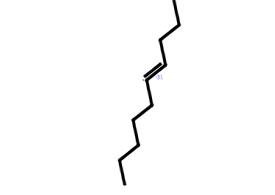 CCC/C=[C]/CCCCC